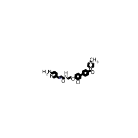 CN1CCN(C(=O)c2ccc(-c3ccc(OCCNC(=O)/C=C/c4ccc(N)nc4)c(Cl)c3)cc2)CC1